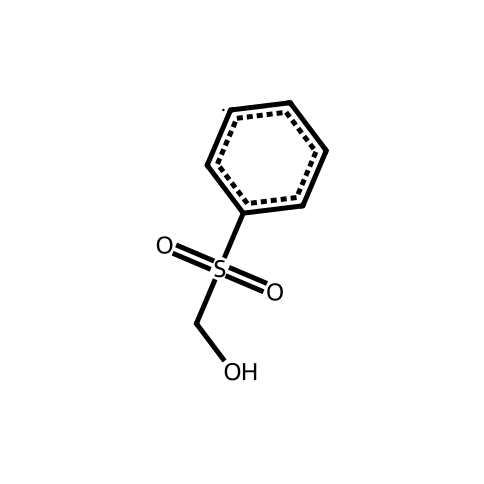 O=S(=O)(CO)c1c[c]ccc1